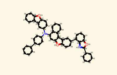 c1ccc(-c2ccc(N(c3ccc4oc5ccccc5c4c3)c3cc4oc5ccc(-c6cccc7oc(-c8ccccc8)nc67)cc5c4c4ccccc34)cc2)cc1